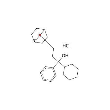 Cl.OC(CCN1CC2CCC(CC2)C1)(c1ccccc1)C1CCCCC1